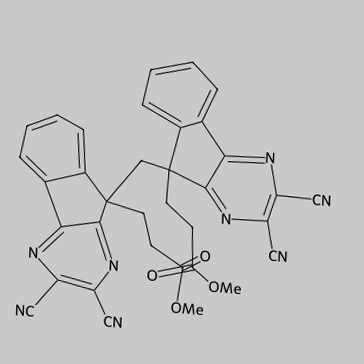 COC(=O)CCC1(CC2(CCC(=O)OC)c3ccccc3-c3nc(C#N)c(C#N)nc32)c2ccccc2-c2nc(C#N)c(C#N)nc21